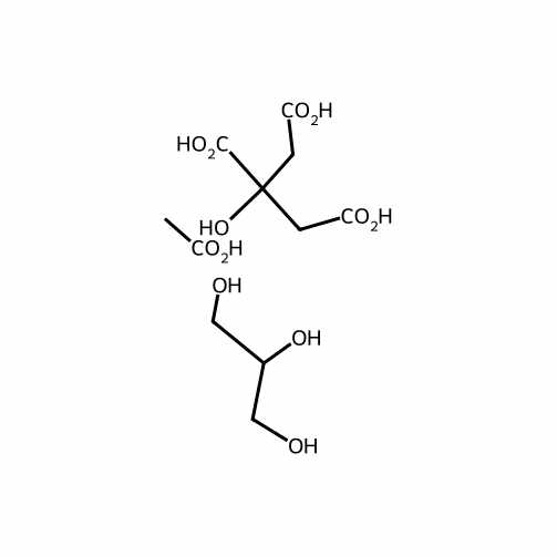 CC(=O)O.O=C(O)CC(O)(CC(=O)O)C(=O)O.OCC(O)CO